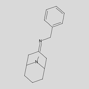 CN1C2CCCC1CC(=NCc1ccccc1)C2